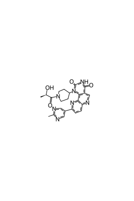 Cc1ncc(-c2ccc3ncc4c(=O)[nH]c(=O)n(C5CCN(C(=O)[C@@H](C)O)CC5)c4c3n2)cn1